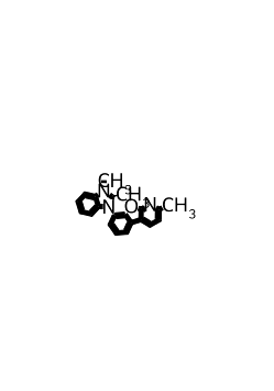 Cc1ccc2c(n1)oc1c(N3c4ccccc4N(C)[C@@H]3C)cccc12